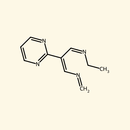 C=N/C=C(\C=N/CC)c1ncccn1